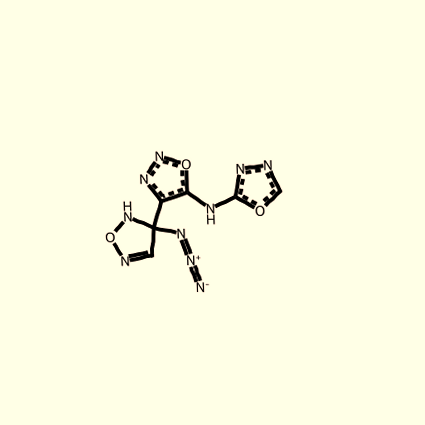 [N-]=[N+]=NC1(c2nnoc2Nc2nnco2)C=NON1